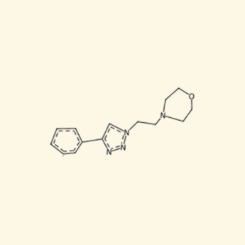 [c]1cccc(-c2cn(CCN3CCOCC3)nn2)c1